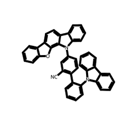 N#Cc1cc(-n2c3ccccc3c3ccc4c5ccccc5oc4c32)ccc1-c1ccccc1-n1c2ccccc2c2ccccc21